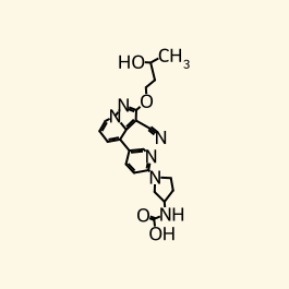 CC(O)CCOc1nn2cccc(-c3ccc(N4CCC(NC(=O)O)C4)nc3)c2c1C#N